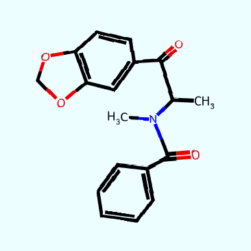 CC(C(=O)c1ccc2c(c1)OCO2)N(C)C(=O)c1ccccc1